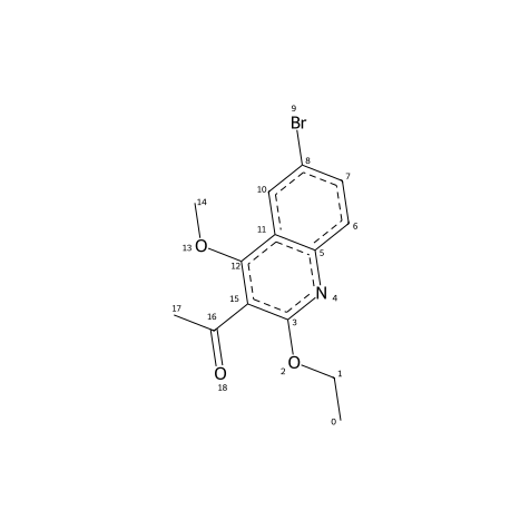 CCOc1nc2ccc(Br)cc2c(OC)c1C(C)=O